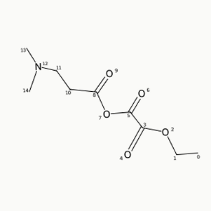 CCOC(=O)C(=O)OC(=O)CCN(C)C